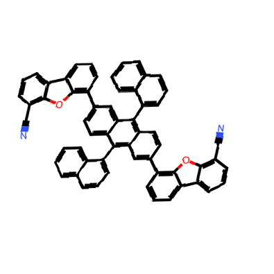 N#Cc1cccc2c1oc1c(-c3ccc4c(-c5cccc6ccccc56)c5cc(-c6cccc7c6oc6c(C#N)cccc67)ccc5c(-c5cccc6ccccc56)c4c3)cccc12